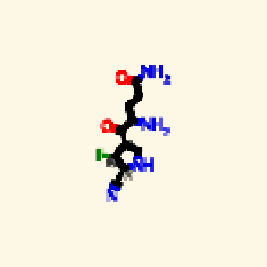 N#C[C@@H]1NC[C@H](C(=O)C(N)CCC(N)=O)[C@H]1F